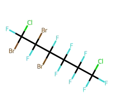 FC(F)(Cl)C(F)(F)C(F)(F)C(F)(Br)C(F)(Br)C(F)(Cl)Br